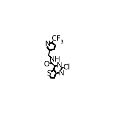 O=C(NCc1ccc(C(F)(F)F)nc1)c1nc(Cl)nc2ccsc12